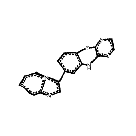 c1ccn2c(-c3ccc4c(c3)Nc3nccnc3S4)cnc2c1